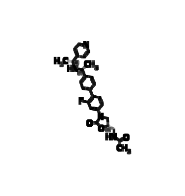 CC(=O)NC[C@H]1CN(c2ccc(-c3ccc([C@@H](C)N[C@H](C)c4ccncc4)cc3)c(F)c2)C(=O)O1